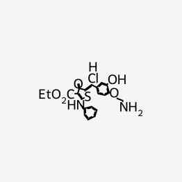 CCOC(=O)C1=C(Nc2ccccc2)S/C(=C\c2ccc(OCCN)c(O)c2)C1=O.Cl